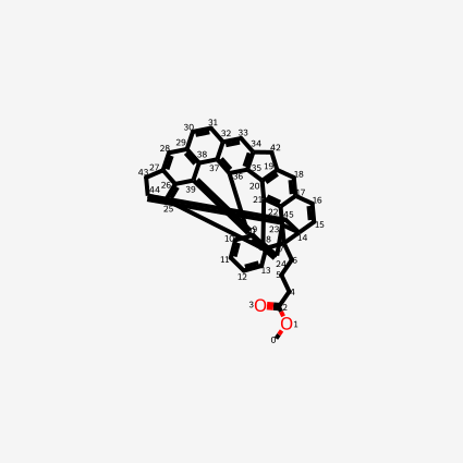 COC(=O)CCCC1(c2ccccc2)C23C=Cc4cc5c6c7c4C21c1c2c4c(cc8ccc9cc(c6c6c9c8c4c6c17)C5)CC2=C3